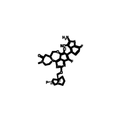 CN1CCN2c3nc(OC[C@@]45CCCN4C[C@H](F)C5)nc4c(F)c(-c5ccc(F)c6sc(N)c(C#N)c56)c(Cl)c(c34)OCC2CC1=O